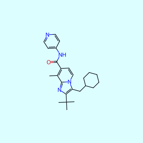 Cc1c(C(=O)Nc2ccncc2)ccn2c(CC3CCCCC3)c(C(C)(C)C)nc12